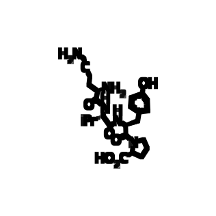 CC(C)[C@H](NC(=O)[C@@H](N)CCCCN)C(=O)N[C@@H](Cc1ccc(O)cc1)C(=O)N1CCC[C@H]1C(=O)O